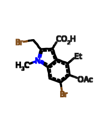 CCc1c(OC(C)=O)c(Br)cc2c1c(C(=O)O)c(CBr)n2C